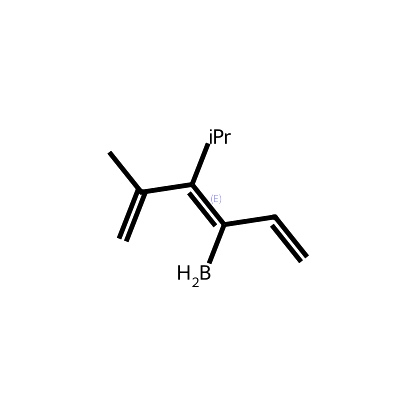 B/C(C=C)=C(\C(=C)C)C(C)C